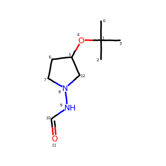 CC(C)(C)OC1CCN(NC=O)C1